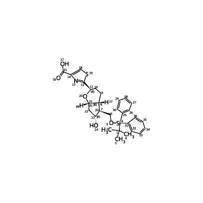 CC(C)(C)[Si](OC[C@@H]1[C@H]2CC[C@H](c3nc(C(=O)O)cs3)O[C@H]2C[C@H]1O)(c1ccccc1)c1ccccc1